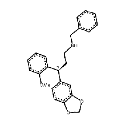 COc1ccccc1[C@@H](CCNCc1ccccc1)c1ccc2c(c1)OCO2